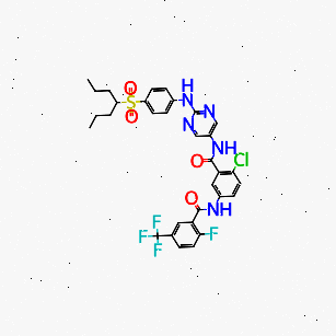 CCCC(CCC)S(=O)(=O)c1ccc(Nc2ncc(NC(=O)c3cc(NC(=O)c4cc(C(F)(F)F)ccc4F)ccc3Cl)cn2)cc1